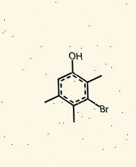 Cc1cc(O)c(C)c(Br)c1C